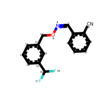 N#Cc1ccccc1/[C]=N\OCc1cccc(C(F)F)c1